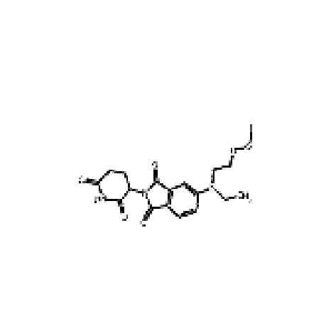 CCN(CCOSI)c1ccc2c(c1)C(=O)N(C1CCC(=O)NC1=O)C2=O